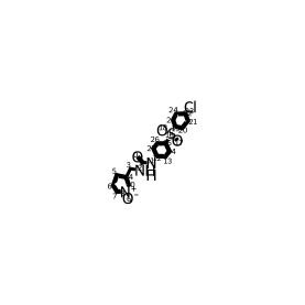 O=C(NCc1ccc[n+]([O-])c1)Nc1ccc(S(=O)(=O)c2ccc(Cl)cc2)cc1